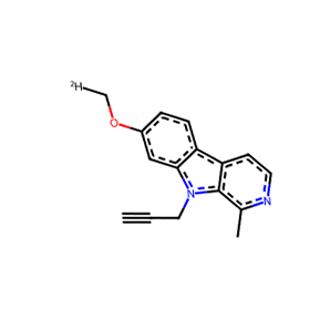 [2H]COc1ccc2c3ccnc(C)c3n(CC#C)c2c1